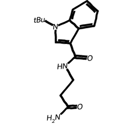 CC(C)(C)n1cc(C(=O)NCCC(N)=O)c2ccccc21